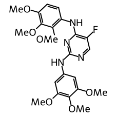 COc1cc(Nc2ncc(F)c(Nc3ccc(OC)c(OC)c3OC)n2)cc(OC)c1OC